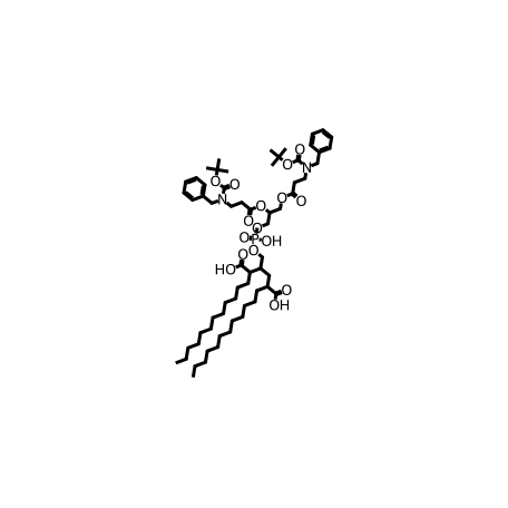 CCCCCCCCCCCCC(CC(COP(=O)(O)OCC(COC(=O)CCN(Cc1ccccc1)C(=O)OC(C)(C)C)OC(=O)CCN(Cc1ccccc1)C(=O)OC(C)(C)C)C(CCCCCCCCCCCC)C(=O)O)C(=O)O